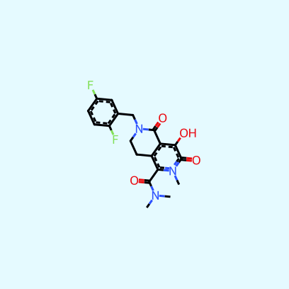 CN(C)C(=O)c1c2c(c(O)c(=O)n1C)C(=O)N(Cc1cc(F)ccc1F)CC2